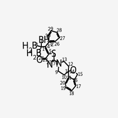 BC(B)(B)/C(=C1/SC(N2CCC3(CC2)OCc2ccccc23)=NC1=O)c1ccccc1